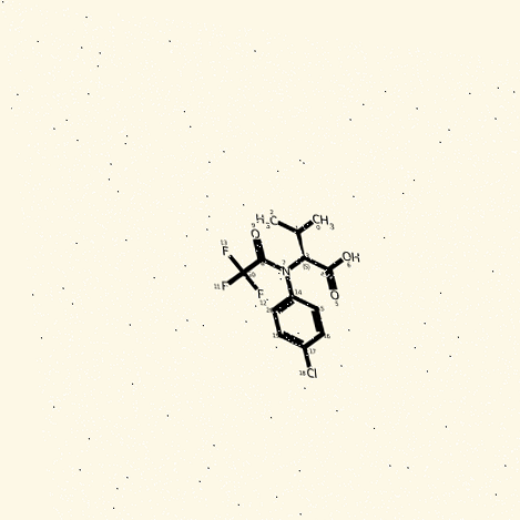 CC(C)[C@@H](C(=O)O)N(C(=O)C(F)(F)F)c1ccc(Cl)cc1